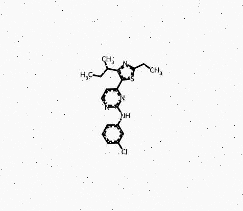 CCc1nc(C(C)CC)c(-c2ccnc(Nc3cccc(Cl)c3)n2)s1